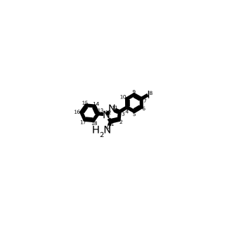 Nc1cc(-c2ccc(I)cc2)nn1-c1ccccc1